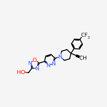 C#CC1(c2ccc(C(F)(F)F)cc2)CCN(c2ccc(-c3nc(CO)no3)nn2)CC1